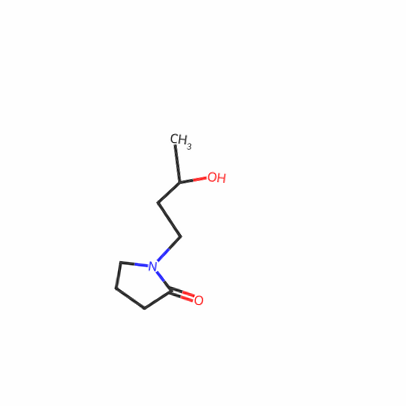 CC(O)CCN1CCCC1=O